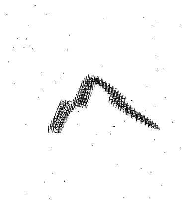 Cl.Cl.Cl.Cl.Cl.Cl.Cl.Cl.Cl.Cl.Cl.Cl.Cl.Cl.Cl.Cl.Cl.Cl.Cl.Cl.Cl.Cl.Cl.Cl.Cl.[LiH].[LiH].[LiH].[LiH].[LiH].[LiH].[LiH].[LiH].[LiH].[LiH].[LiH].[LiH].[LiH].[LiH].[LiH].[LiH].[LiH].[LiH].[LiH].[LiH]